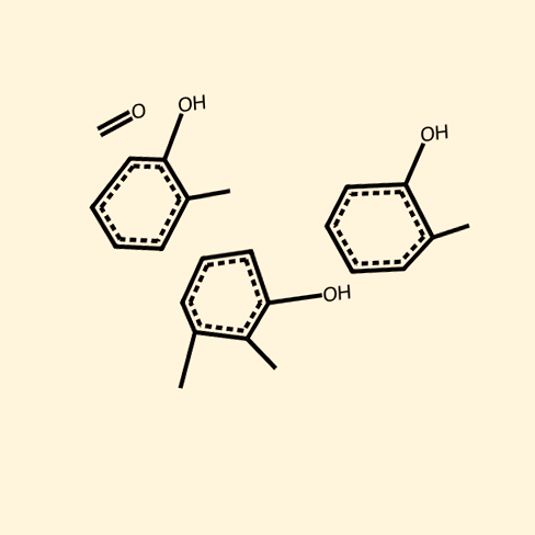 C=O.Cc1cccc(O)c1C.Cc1ccccc1O.Cc1ccccc1O